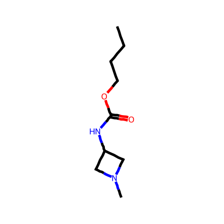 CCCCOC(=O)NC1CN(C)C1